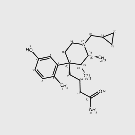 Cc1ccc(O)cc1[C@]1(CCCC(N)=O)CCN(CC2CC2)[C@H](C)[C@@H]1C